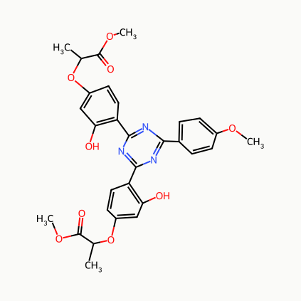 COC(=O)C(C)Oc1ccc(-c2nc(-c3ccc(OC)cc3)nc(-c3ccc(OC(C)C(=O)OC)cc3O)n2)c(O)c1